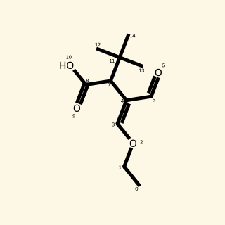 CCOC=C(C=O)C(C(=O)O)C(C)(C)C